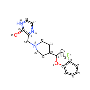 CC(Oc1ccccc1F)C1CCN(Cc2ncc[nH]c2=O)CC1